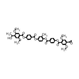 COc1cc(C(C)O)c(OC)cc1C(=O)Oc1ccc(C(=O)Oc2ccc(OC(=O)c3ccc(OC(=O)c4cc(OC)c(C5CO5)cc4OC)cc3)c(C)c2)cc1